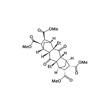 CC[C@@]12C(=O)[C@@H]3[C@@H]4C[C@@H]([C@@H](C(=O)OC)[C@H]4C(=O)OC)[C@]3(CC)C(=O)[C@@H]1[C@H]1C[C@@H]2[C@H](C(=O)OC)[C@@H]1C(=O)OC